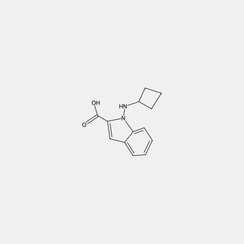 O=C(O)c1cc2ccccc2n1NC1CCC1